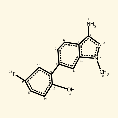 Cn1nc(N)c2ccc(-c3cc(F)ccc3O)cc21